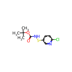 CC(C)(C)OC(=O)NSc1ccc(Cl)nc1